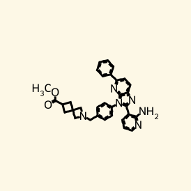 COC(=O)C1CC2(C1)CN(Cc1ccc(-n3c(-c4cccnc4N)nc4ccc(-c5ccccc5)nc43)cc1)C2